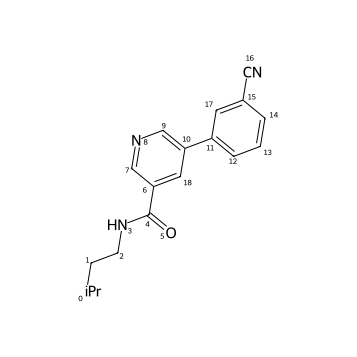 CC(C)CCNC(=O)c1cncc(-c2cccc(C#N)c2)c1